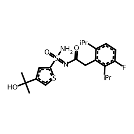 CC(C)c1ccc(F)c(C(C)C)c1CC(=O)N=S(N)(=O)c1cc(C(C)(C)O)cs1